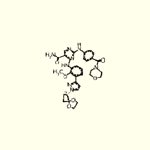 COc1c(Nc2nc(Nc3ccc(C(=O)N4CCOCC4)cc3)ncc2C(N)=O)cccc1-c1ccn([C@H]2CCC23OCCO3)n1